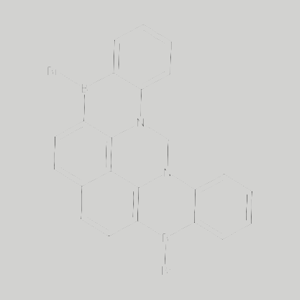 BrB1c2ccccc2N2CN3c4ccccc4B(Br)c4ccc5ccc1c2c5c43